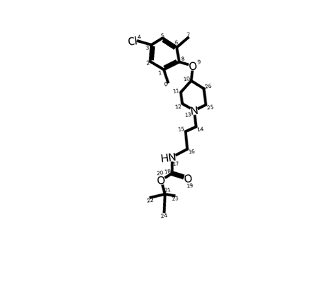 Cc1cc(Cl)cc(C)c1OC1CCN(CCCNC(=O)OC(C)(C)C)CC1